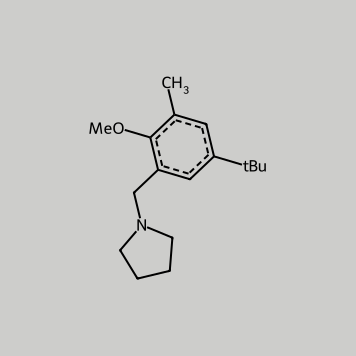 COc1c(C)cc(C(C)(C)C)cc1CN1CCCC1